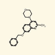 Cc1cc(N2CCOCC2)c2ccc(OCc3ccccc3)cc2n1